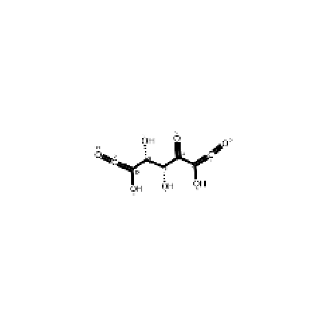 O=C=C(O)C(=O)[C@H](O)[C@@H](O)C(O)=C=O